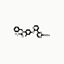 CNc1nccc(-c2cccnc2Oc2ccc(N(Cc3ccccc3)C(N)=O)c(C)c2)n1